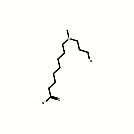 CN(CCCO)CCCCCCCC(=O)O